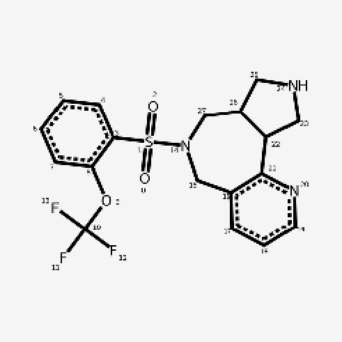 O=S(=O)(c1ccccc1OC(F)(F)F)N1Cc2cccnc2C2CNCC2C1